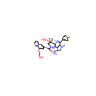 C[C@@]1(N)CNc2c1cc([C@](O)(CNC(=O)c1cc(OCCO)c3ncccc3c1)C(F)(F)F)nc2-c1ccc(F)cc1